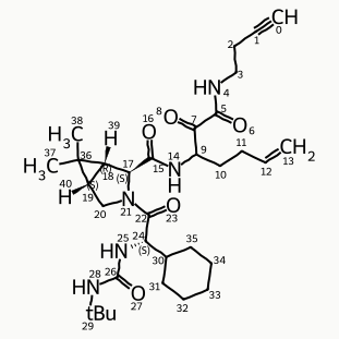 C#CCCNC(=O)C(=O)C(CCC=C)NC(=O)[C@@H]1[C@@H]2[C@H](CN1C(=O)[C@@H](NC(=O)NC(C)(C)C)C1CCCCC1)C2(C)C